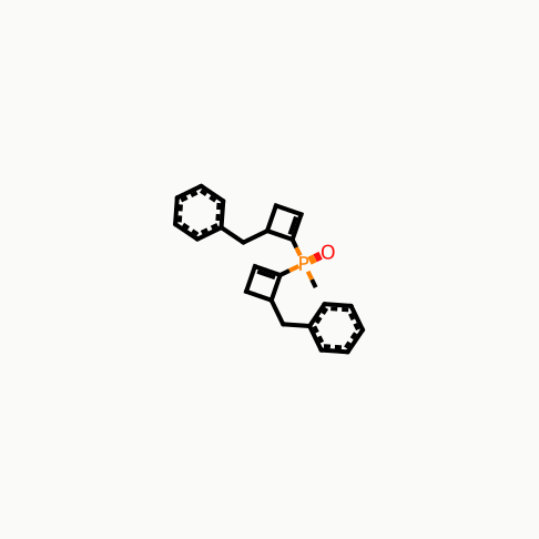 CP(=O)(C1=CCC1Cc1ccccc1)C1=CCC1Cc1ccccc1